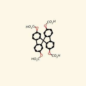 O=C(O)Oc1ccc2c(c1)C1(c3cc(OC(=O)O)ccc3-2)c2cc(OC(=O)O)ccc2-c2ccc(OC(=O)O)cc21